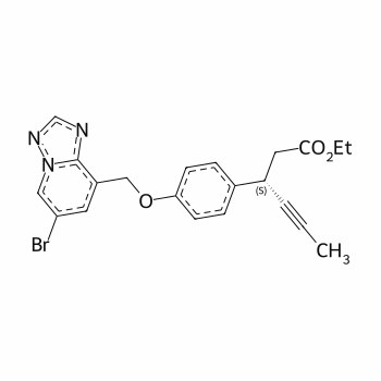 CC#C[C@@H](CC(=O)OCC)c1ccc(OCc2cc(Br)cn3ncnc23)cc1